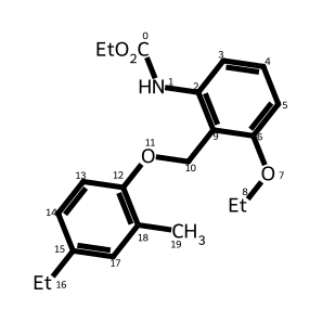 CCOC(=O)Nc1cccc(OCC)c1COc1ccc(CC)cc1C